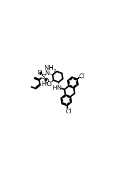 C=C(/C=C\C)S(=O)(=O)N(N)[C@@H]1CCC[C@H](NC2c3ccc(Cl)cc3Cc3cc(Cl)ccc32)[C@H]1O